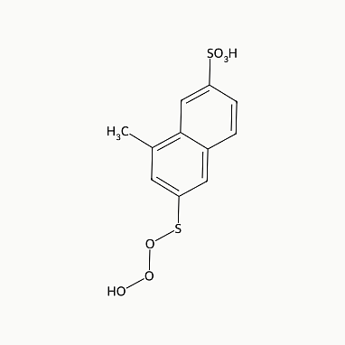 Cc1cc(SOOO)cc2ccc(S(=O)(=O)O)cc12